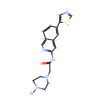 CCN1CCN(CC(=O)Nc2cc3cc(-c4cncs4)ccc3cn2)CC1